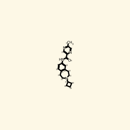 Cc1cnc(C(=O)Nc2ccc3c(c2)CCN(C2CCC2)CC3)cn1